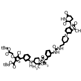 Cn1c(=O)n(C2CCC(=O)NC2=O)c2ccc(N3CCC(CCNC(=O)Nc4cccc(CS(=O)(=O)N5CC[C@H](Nc6cccc(-c7sc(C(=O)OC(C)(C)C)c(OCC(=O)OC(C)(C)C)c7Cl)c6)CC5(C)C)c4)CC3)cc21